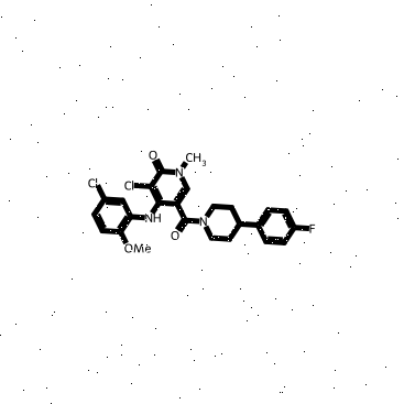 COc1ccc(Cl)cc1Nc1c(C(=O)N2CCC(c3ccc(F)cc3)CC2)cn(C)c(=O)c1Cl